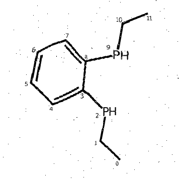 CCPc1ccccc1PCC